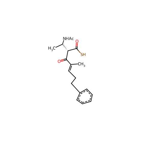 CC(=O)NC(C)[C@H](C(=O)S)C(=O)/C(C)=C/CCc1ccccc1